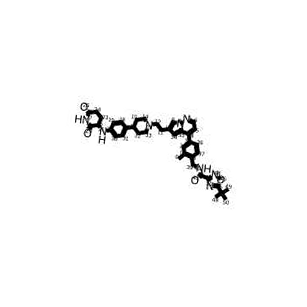 Cc1cc(-c2ccnn3cc(CCN4CCC(c5ccc(NC6CCC(=O)NC6=O)cc5)CC4)cc23)ccc1CNC(=O)c1noc(C(C)(C)C)n1